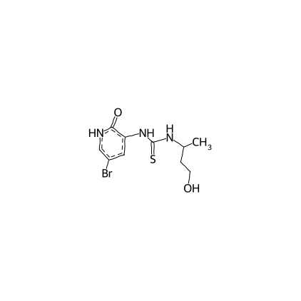 CC(CCO)NC(=S)Nc1cc(Br)c[nH]c1=O